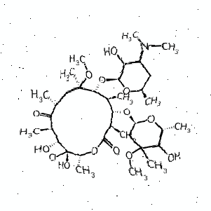 COC1(C)C[C@@H](O[C@H]2[C@H](C)[C@@H](O[C@@H]3O[C@H](C)CC(N(C)C)C3O)[C@](C)(OC)C[C@@H](C)C(=O)[C@H](C)[C@@H](O)[C@@](O)(Cl)[C@@H](C)OC(=O)[C@@H]2C)O[C@H](C)C1O